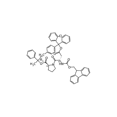 Cc1ccc(C(OC(=O)C[C@H](NC(=O)OCC2c3ccccc3-c3ccccc32)C(=O)N2CCC[C@H]2C(=O)OC(C)(C)c2ccccc2)(c2ccccc2)c2ccccc2Cl)cc1